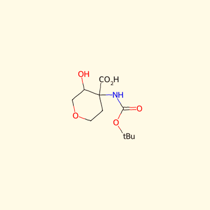 CC(C)(C)OC(=O)NC1(C(=O)O)CCOCC1O